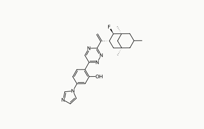 C=C(c1ncc(-c2ccc(-n3ccnc3)cc2O)nn1)[C@H]1C[C@]2(C)CC(C)C[C@@](C)(C2)[C@@H]1F